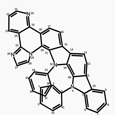 c1ccc(-n2c3ccccc3c3ccc4c5ccc6c7ncccc7c7nccn7c6c5n(-c5ccccc5)c4c32)cc1